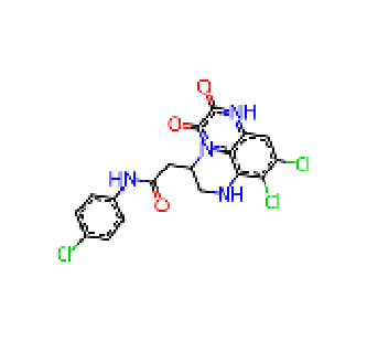 O=C(CC1CNc2c(Cl)c(Cl)cc3[nH]c(=O)c(=O)n1c23)Nc1ccc(Cl)cc1